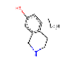 CC(=O)O.Oc1ccc2c(c1)CNCC2